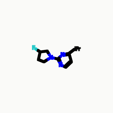 CC(C)c1ccnc(N2CCC(F)C2)n1